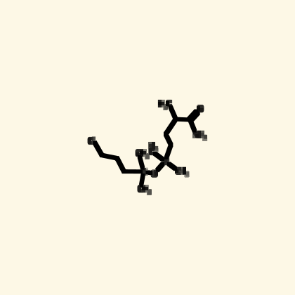 CC(CC[Si](C)(C)O[Si](C)(C)CCCCl)C(N)=O